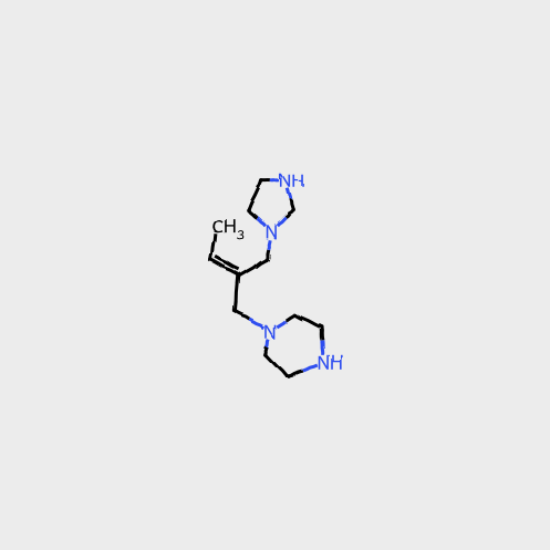 CC=C(CN1CCNCC1)CN1CCNC1